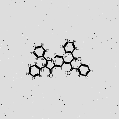 O=C1C2=CC(=C(C(=O)c3ccccc3)C(=O)c3ccccc3)C=CN2C(c2ccccc2)=C1c1ccccc1